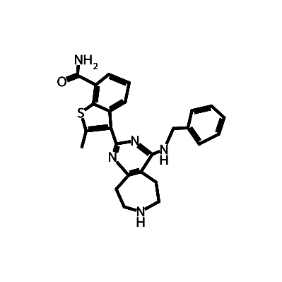 Cc1sc2c(C(N)=O)cccc2c1-c1nc2c(c(NCc3ccccc3)n1)CCNCC2